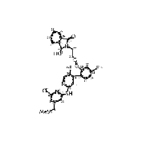 CSCc1cc(Cl)nc(Nc2cc(-c3ccc(F)cc3OCCCN3C(=O)c4ccccc4C3O)c(F)cn2)c1